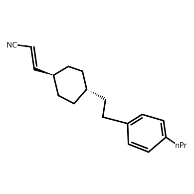 CCCc1ccc(CC[C@H]2CC[C@H](/C=C/C#N)CC2)cc1